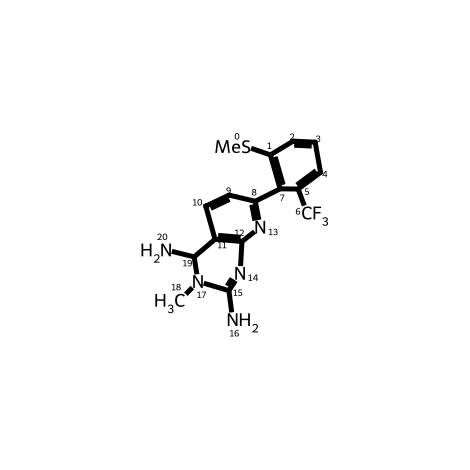 CSc1cccc(C(F)(F)F)c1-c1ccc2c(n1)N=C(N)N(C)C2N